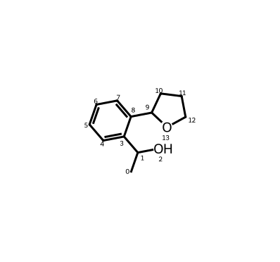 CC(O)c1ccccc1C1CCCO1